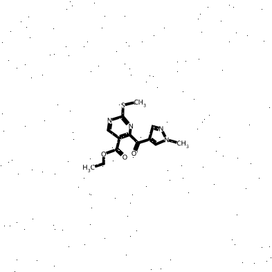 CCOC(=O)c1cnc(SC)nc1C(=O)c1cnn(C)c1